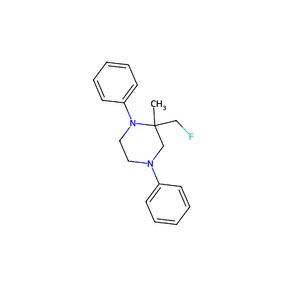 CC1(CF)CN(c2ccccc2)CCN1c1ccccc1